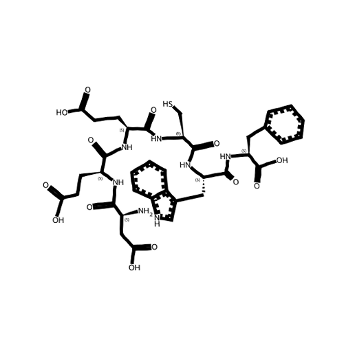 N[C@@H](CC(=O)O)C(=O)N[C@@H](CCC(=O)O)C(=O)N[C@@H](CCC(=O)O)C(=O)N[C@@H](CS)C(=O)N[C@@H](Cc1c[nH]c2ccccc12)C(=O)N[C@@H](Cc1ccccc1)C(=O)O